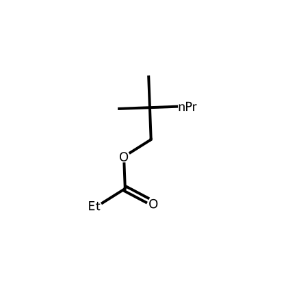 CCCC(C)(C)COC(=O)CC